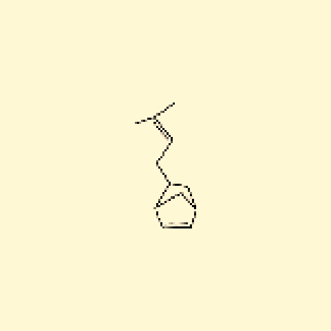 CC(C)=CCC1CC2C=CC1C2